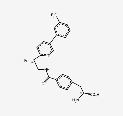 CC(C)[C@@H](CNC(=O)c1ccc(C[C@H](N)C(=O)O)cc1)c1ccc(-c2cccc(C(F)(F)F)c2)cc1